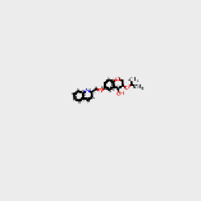 CC(C)OC1COc2ccc(OCc3ccc4ccccc4n3)cc2C1O